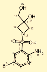 Nc1ncc(Br)cc1S(=O)(=O)N1CC(O)(CO)C1